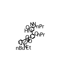 CCCCN(CC)CCN(Cc1ccccn1)S(=O)(=O)c1ccc(OCCC)c(-c2cc3c(CCC)nn(C)c3c(=O)[nH]2)c1